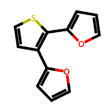 c1coc(-c2ccsc2-c2ccco2)c1